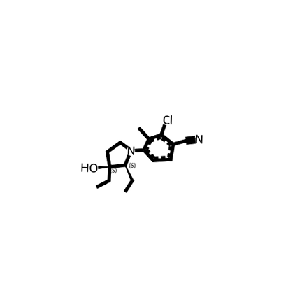 CC[C@@H]1N(c2ccc(C#N)c(Cl)c2C)CC[C@@]1(O)CC